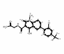 CC(=O)CNC(=O)c1c(O)c2cc(-c3ncc(C(F)(F)F)cc3Cl)ccc2n(C)c1=O